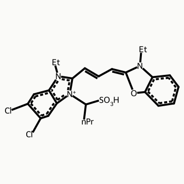 CCCC([n+]1c(/C=C/C=C2\Oc3ccccc3N2CC)n(CC)c2cc(Cl)c(Cl)cc21)S(=O)(=O)O